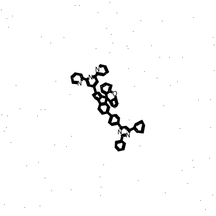 c1ccc(-c2cc(-c3ccc(-c4ccc5c(c4)C4(c6ccccc6Oc6ccccc64)c4cc(-c6cc(-c7ccccn7)nc(-c7ccccn7)c6)ccc4-5)cc3)nc(-c3ccccc3)n2)cc1